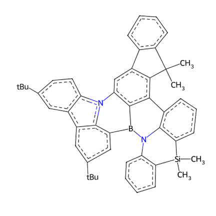 CC(C)(C)c1ccc2c(c1)c1cc(C(C)(C)C)cc3c1n2-c1cc2c(c4c1B3N1c3ccccc3[Si](C)(C)c3cccc-4c31)C(C)(C)c1ccccc1-2